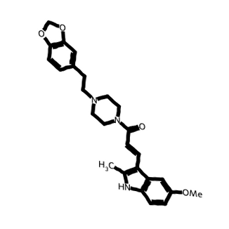 COc1ccc2[nH]c(C)c(/C=C/C(=O)N3CCN(CCc4ccc5c(c4)OCO5)CC3)c2c1